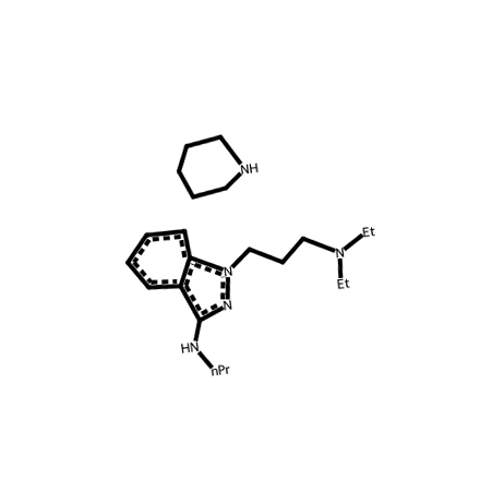 C1CCNCC1.CCCNc1nn(CCCN(CC)CC)c2ccccc12